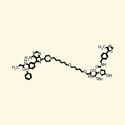 C=CC(=O)Nc1cc(-c2nn(C3CCN(CCCCCCOCCCCCOCC(=O)N[C@H](C(=O)N4C[C@H](O)C[C@H]4C(=O)NCc4ccc(-c5scnc5C)cc4)C(C)(C)C)CC3)c3ncnc(N)c23)ccc1Oc1ccccc1